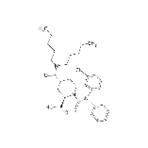 CCCCCN(CCCCC)C(=O)[C@@H]1CCN(C(=O)N(c2ccccc2)c2cccc(Cl)c2)[C@@H](C(=O)O)C1